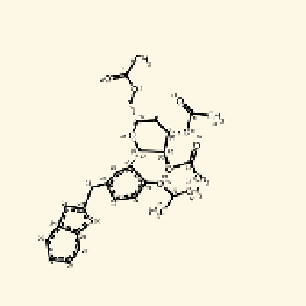 CC(=O)OC[C@@H]1C[C@H](OC(C)=O)[C@@H](OC(C)=O)[C@H](c2cc(Cc3cc4ccccc4s3)ccc2OC(C)C)O1